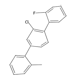 Cc1ccccc1-c1ccc(-c2cc[c]cc2F)c(Cl)c1